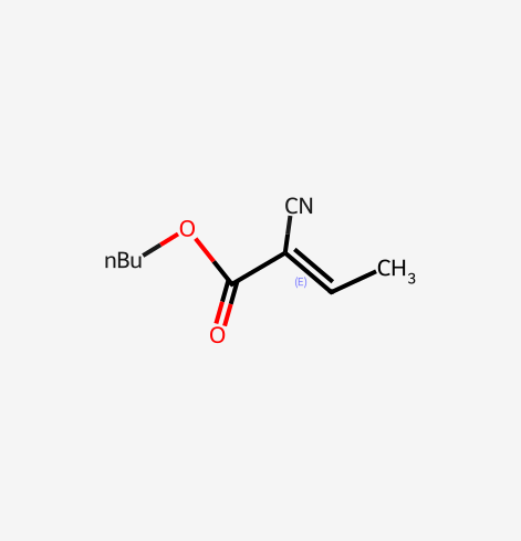 C/C=C(\C#N)C(=O)OCCCC